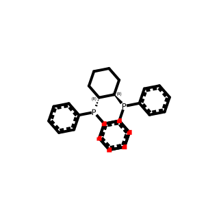 c1ccc(P(c2ccccc2)[C@@H]2CCCC[C@H]2P(c2ccccc2)c2ccccc2)cc1